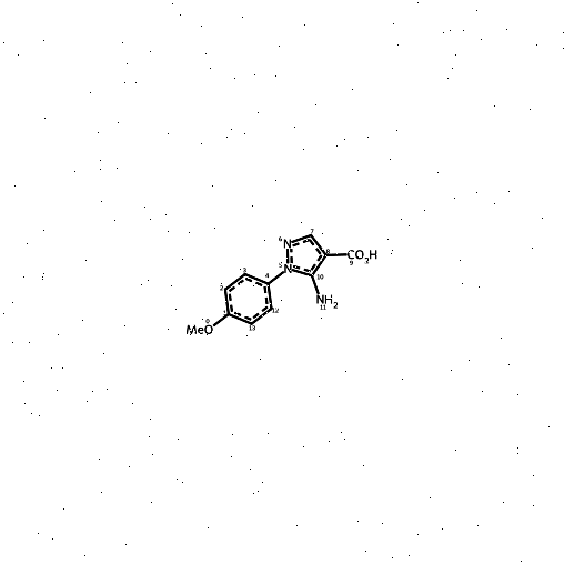 COc1ccc(-n2ncc(C(=O)O)c2N)cc1